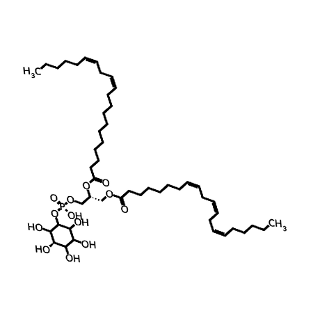 CCCCC/C=C\C/C=C\C/C=C\CCCCCCC(=O)OC[C@H](COP(=O)(O)OC1C(O)C(O)C(O)[C@@H](O)C1O)OC(=O)CCCCCCCCC/C=C\C/C=C\CCCCC